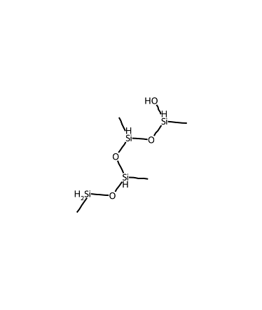 C[SiH2]O[SiH](C)O[SiH](C)O[SiH](C)O